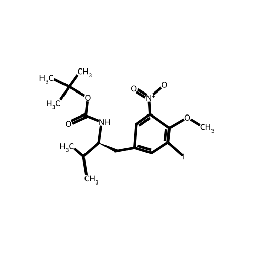 COc1c(I)cc(C[C@H](NC(=O)OC(C)(C)C)C(C)C)cc1[N+](=O)[O-]